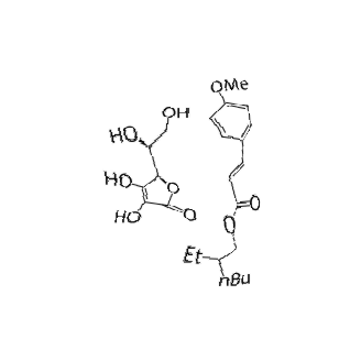 CCCCC(CC)COC(=O)/C=C/c1ccc(OC)cc1.O=C1O[C@H]([C@@H](O)CO)C(O)=C1O